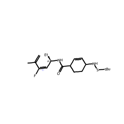 C=C(C)/C(F)=C\[C@@H](CC)NC(=O)C1C=CC(NSC(C)(C)C)CC1